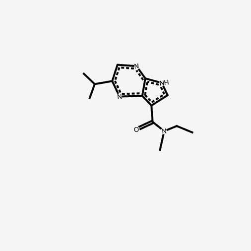 CCN(C)C(=O)c1c[nH]c2ncc(C(C)C)nc12